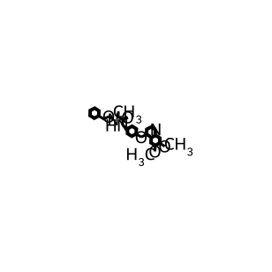 COc1cc2nccc(Oc3ccc(NC(=O)C(C)=NOCc4ccccc4)cc3)c2cc1OC